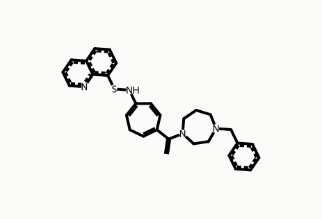 C=C(C1=CCC=C(NSc2cccc3cccnc23)C=C1)N1CCCN(Cc2ccccc2)CC1